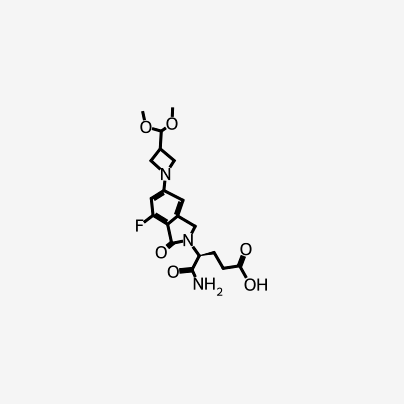 COC(OC)C1CN(c2cc(F)c3c(c2)CN([C@@H](CCC(=O)O)C(N)=O)C3=O)C1